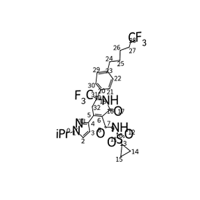 CC(C)n1ccc(C2=C(C(=O)NS(=O)(=O)C3CC3)C(=O)NC(c3ccc(CCCCC(F)(F)F)cc3)(C(F)(F)F)C2)n1